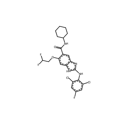 O=C(NC1CCCCC1)c1cc2nc(Nc3c(Cl)cc(F)cc3Cl)[nH]c2cc1OCC(F)F